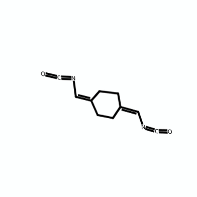 O=C=NC=C1CCC(=CN=C=O)CC1